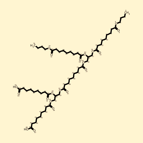 CCCCOC(=O)CCCCCCCC(=O)OCC(COC(=O)CCCCCCCC(=O)OCC(COC(=O)CCCCCCCC(=O)O)OC(=O)CCCCCCCC(=O)O)OC(=O)CCCCCCCC(=O)OCCCC